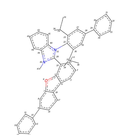 Cc1ccc2c(oc3cc(-c4ccccc4)ccc32)c1-c1n(-c2c(C(C)C)cc(-c3ccccc3)cc2C(C)C)c2ccccc2[n+]1C